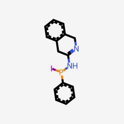 IP(NC1=NCc2ccccc2C1)c1ccccc1